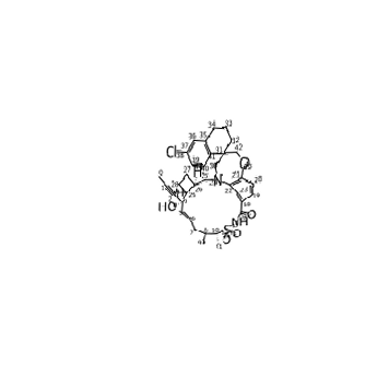 CC#C[C@]1(O)/C=C/C[C@H](C)[C@@H](C)S(=O)(=O)NC(=O)c2ccc3c(c2)N(C[C@@H]2CC[C@H]21)C[C@@]1(CCCc2cc(Cl)ccc21)CO3